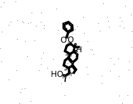 C[C@@H](O)[C@H]1CC=C2C3=C(CC[C@@]21C)[C@@]1(C)CC[C@H](OC(=O)c2ccccc2)C(C)(C)[C@@H]1CC3